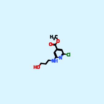 COC(=O)c1cc(Cl)nc(NCCCO)c1